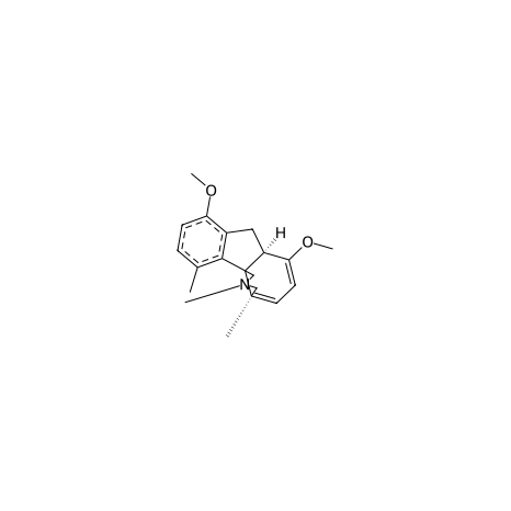 COC1=CC=C2[C@@H](C)N(C)CC23c2c(C)ccc(OC)c2C[C@@H]13